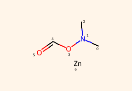 CN(C)OC=O.[Zn]